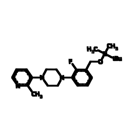 Cc1ncccc1N1CCN(c2cccc(CO[Si](C)(C)C(C)(C)C)c2F)CC1